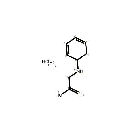 Cl.Cl.O=C(O)CNC1C=CC=CC1